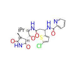 CC(C)[C@H](NC(=O)CC(NC(=O)c1ccccn1)c1ccc(Cl)s1)C(=O)[C@@H]1C(=O)NC(=O)[C@H]1C